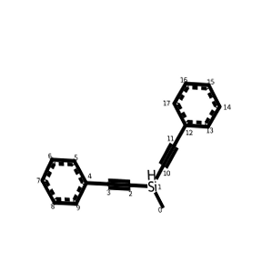 C[SiH](C#Cc1ccccc1)C#Cc1ccccc1